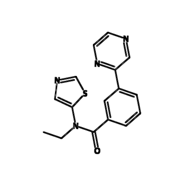 CCN(C(=O)c1cccc(-c2cnccn2)c1)c1cncs1